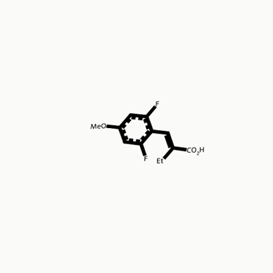 CC/C(=C\c1c(F)cc(OC)cc1F)C(=O)O